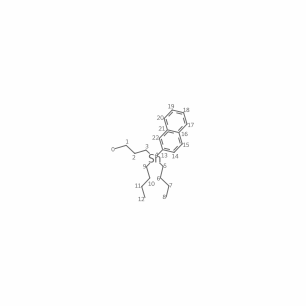 CCC[CH2][Sn]([CH2]CCC)([CH2]CCC)[c]1ccc2ccccc2c1